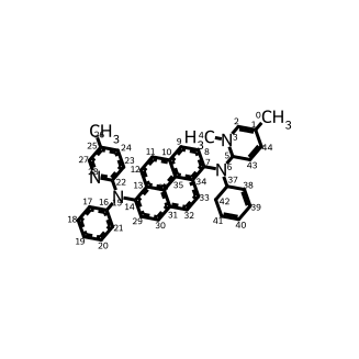 CC1=CN(C)C(N(c2ccc3ccc4c(N(c5ccccc5)c5ccc(C)cn5)ccc5ccc2c3c54)C2C=CC=CC2)C=C1